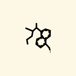 CCCC(C)C(C)c1cccc2c(CI)cccc12